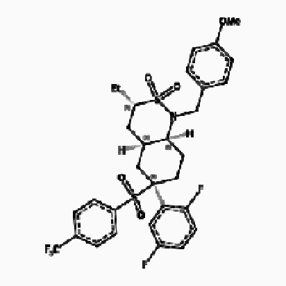 CC[C@H]1C[C@@H]2C[C@](c3cc(F)ccc3F)(S(=O)(=O)c3ccc(C(F)(F)F)cc3)CC[C@@H]2N(Cc2ccc(OC)cc2)S1(=O)=O